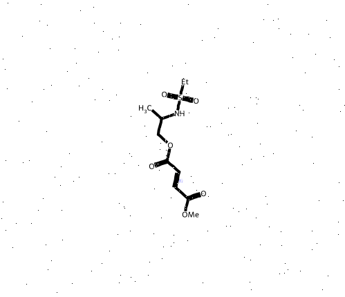 CCS(=O)(=O)NC(C)COC(=O)/C=C/C(=O)OC